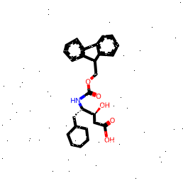 O=C(O)C[C@H](O)[C@H](CC1CCCCC1)NC(=O)OCC1c2ccccc2-c2ccccc21